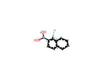 OB(O)c1ccc2ccccc2c1F